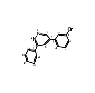 Brc1cccc(-c2cnnc(-c3ccccc3)c2)c1